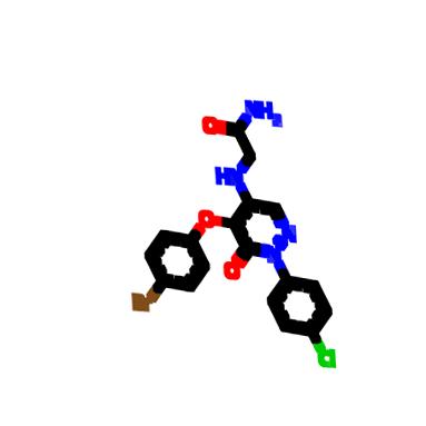 NC(=O)CNc1cnn(-c2ccc(Cl)cc2)c(=O)c1Oc1ccc(Br)cc1